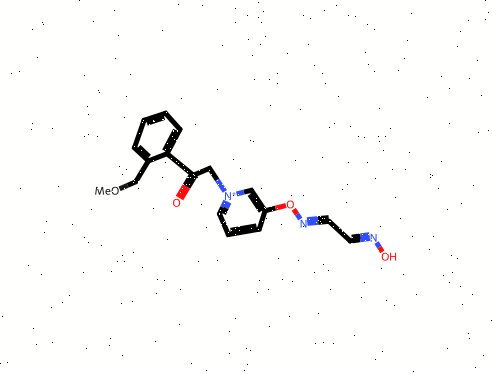 COCc1ccccc1C(=O)C[n+]1cccc(ON=CC=NO)c1